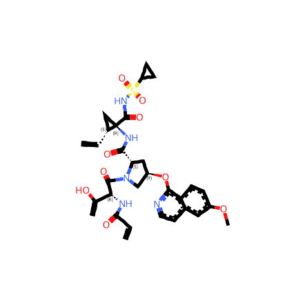 C=CC(=O)N[C@H](C(=C)O)C(=O)N1C[C@H](Oc2nccc3cc(OC)ccc23)C[C@H]1C(=O)N[C@]1(C(=O)NS(=O)(=O)C2CC2)C[C@H]1C=C